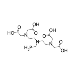 O=C(O)CN(CCN(CP)CCN(CC(=O)O)CC(=O)O)CC(=O)O